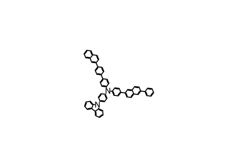 c1ccc(-c2ccc3cc(-c4ccc(N(c5ccc(-c6ccc(-c7ccc8ccccc8c7)cc6)cc5)c5ccc(-n6c7ccccc7c7ccccc76)cc5)cc4)ccc3c2)cc1